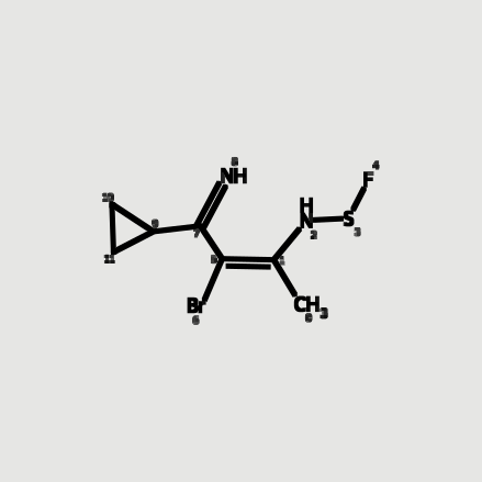 C/C(NSF)=C(\Br)C(=N)C1CC1